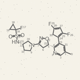 Cc1cnc([C@@H]2CC(N3CC[C@H](NS(=O)(=O)C4(F)CC4)C3)=NO2)c(C2=C(F)C=C(F)C2)c1